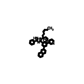 C=C/C=C\CCC(C)(/C=C\CC)N/C(=N\C(=N)c1ccccc1)c1cc(-c2cccnc2)cc(-c2ccc3ccccc3c2)c1